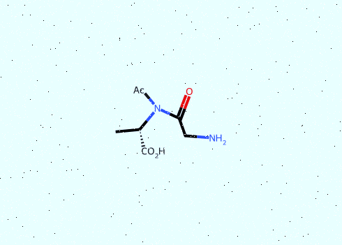 CC(=O)N(C(=O)CN)[C@@H](C)C(=O)O